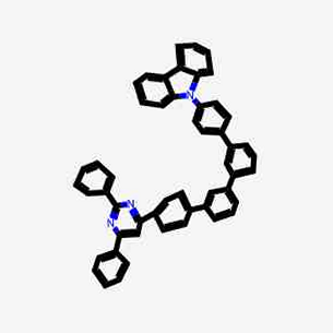 c1ccc(-c2cc(-c3ccc(-c4cccc(-c5cccc(-c6ccc(-n7c8ccccc8c8ccccc87)cc6)c5)c4)cc3)nc(-c3ccccc3)n2)cc1